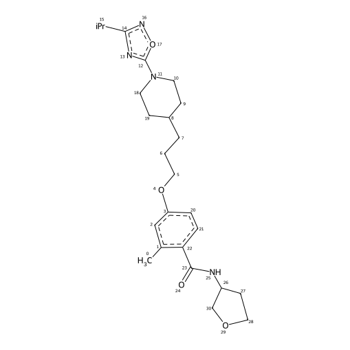 Cc1cc(OCCCC2CCN(c3nc(C(C)C)no3)CC2)ccc1C(=O)NC1CCOC1